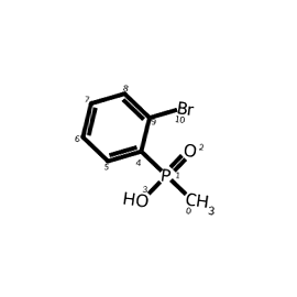 CP(=O)(O)c1ccccc1Br